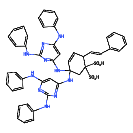 O=S(=O)(O)C1(S(=O)(=O)O)CC(Nc2cc(Nc3ccccc3)nc(Nc3ccccc3)n2)(Nc2cc(Nc3ccccc3)nc(Nc3ccccc3)n2)C=CC1C=Cc1ccccc1